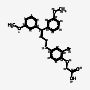 COc1cccc(C(=CCSc2ccc(OCC(=O)O)c(Br)c2)c2cccc(OC)c2)c1